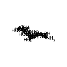 Nc1ccc(N=Nc2ccc3cc(S(=O)(=O)O)c(N=Nc4ccc5cc(S(=O)(=O)O)c(N=Nc6ccc7c(O)c(N=Nc8ccc9c(S(=O)(=O)O)cccc9c8S(=O)(=O)O)c(S(=O)(=O)O)cc7c6S(=O)(=O)O)c(N)c5c4O)cc3c2O)c(S(=O)(=O)O)c1